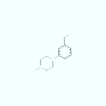 OCc1cccc(N2CCN(Br)CC2)c1